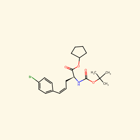 CC(C)(C)OC(=O)N[C@@H](C/C=C\c1ccc(Br)cc1)C(=O)OC1CCCC1